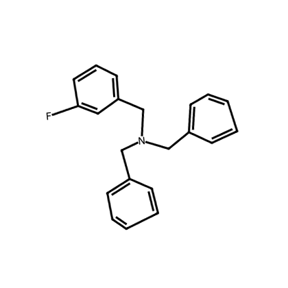 Fc1cccc(CN(Cc2ccccc2)Cc2ccccc2)c1